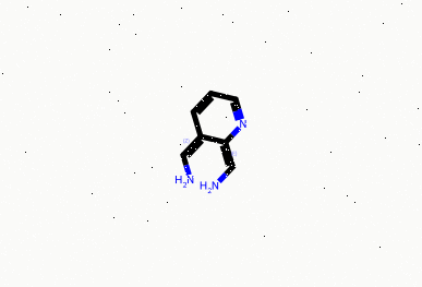 N/C=c1/cccn/c1=C/N